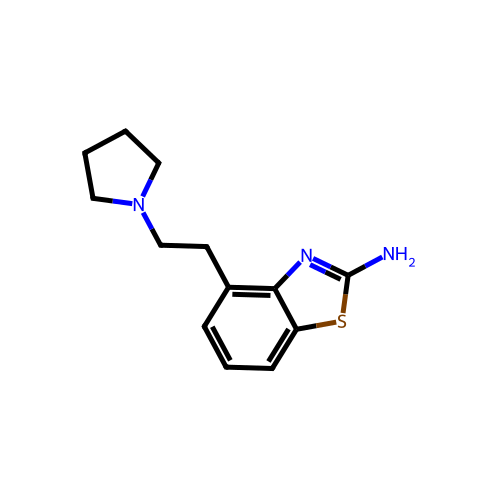 Nc1nc2c(CCN3CCCC3)cccc2s1